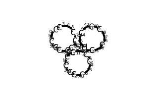 C1CCCCCCCCC([SiH](C2CCCCCCCCCCCCCCCCC2)C2CCCCCCCCCCCCCCCCC2)CCCCCCCC1